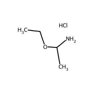 CCOC(C)N.Cl